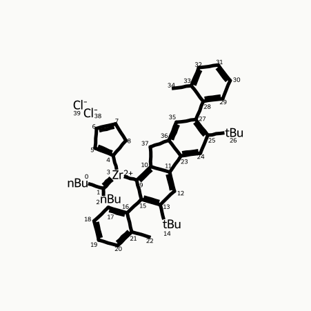 CCCC[C](CCCC)=[Zr+2]([C]1=CC=CC1)[c]1c2c(cc(C(C)(C)C)c1-c1ccccc1C)-c1cc(C(C)(C)C)c(-c3ccccc3C)cc1C2.[Cl-].[Cl-]